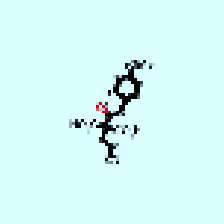 COc1ccc(CC(=O)C(CCC#N)(C(=O)O)C(=O)O)cc1